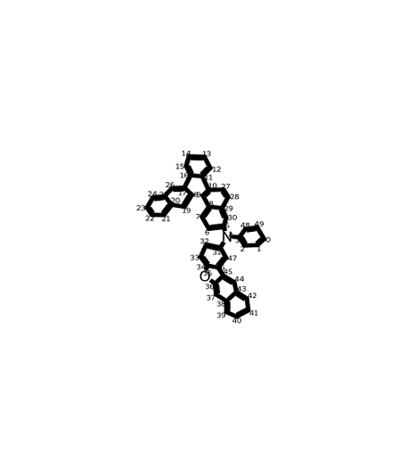 c1ccc(N(c2ccc3cc(-c4ccccc4-c4ccc5ccccc5c4)ccc3c2)c2ccc3oc4cc5ccccc5cc4c3c2)cc1